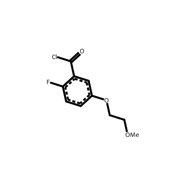 COCCOc1ccc(F)c(C(=O)Cl)c1